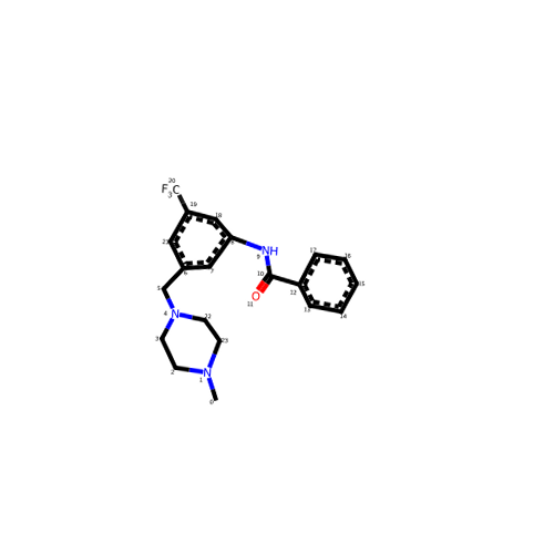 CN1CCN(Cc2cc(NC(=O)c3ccccc3)cc(C(F)(F)F)c2)CC1